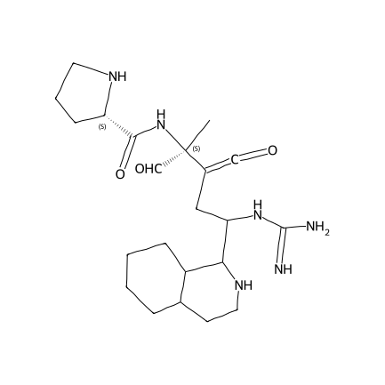 C[C@](C=O)(NC(=O)[C@@H]1CCCN1)C(=C=O)CC(NC(=N)N)C1NCCC2CCCCC21